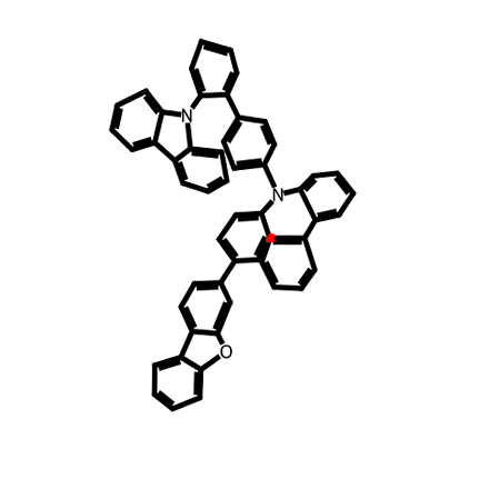 c1ccc(-c2ccccc2N(c2ccc(-c3ccc4c(c3)oc3ccccc34)cc2)c2ccc(-c3ccccc3-n3c4ccccc4c4ccccc43)cc2)cc1